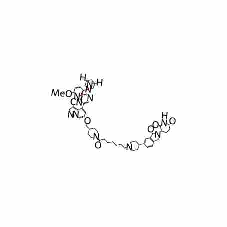 COc1ccc(CN2[C@@H]3C[C@H]2CN(c2ccc(-c4cc(OCC5CCN(C(=O)CCCCCCN6CCC(c7ccc8c(c7)C(=O)N(C7CCC(=O)NC7=O)C8)CC6)CC5)cn5ncc(C#N)c45)cn2)C3)cn1